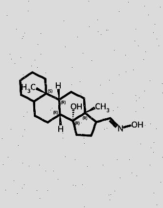 C[C@]12CCCCC1CC[C@@H]1[C@H]2CC[C@]2(C)C(C=NO)CC[C@@]12O